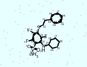 NS(=O)(=O)c1c(F)c(F)c(SCCc2ccccc2)c(F)c1NC1CCCCC1